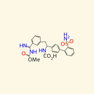 COC(=O)NC(=N)c1cccc(CC(NC(=O)O)c2ccc(-c3ccccc3S(N)(=O)=O)cc2)c1